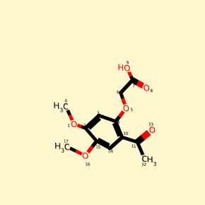 COc1cc(OCC(=O)O)c(C(C)=O)cc1OC